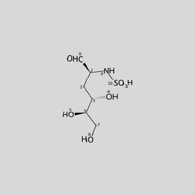 O=C[C@H](C[C@H](O)[C@H](O)CO)NS(=O)(=O)O